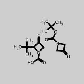 CC(C)(C)C1C(=O)CN1C(=O)O.CC(C)(C)OC(=O)N1CC(=O)C1